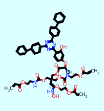 C=CC(=O)OCCNC(=O)OCC(/C=C(/NO)OCCOC(=O)C=C)(COC(=O)NCCOC(=O)C=C)COC(=O)C(C)Oc1ccc(-c2nc(-c3ccc(-c4ccccc4)cc3)nc(-c3ccc(-c4ccccc4)cc3)n2)c(O)c1